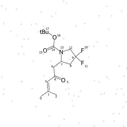 CC(C)=CC(=O)CC1CC(F)(F)CN1C(=O)OC(C)(C)C